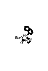 CCC(C)OC(=O)N1CCN=C1Nc1cccc2c1CCC2